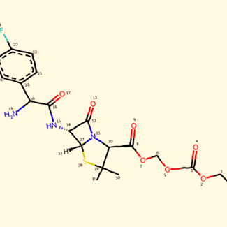 CCOC(=O)OCOC(=O)[C@@H]1N2C(=O)[C@@H](NC(=O)C(N)c3ccc(F)cc3)[C@H]2SC1(C)C